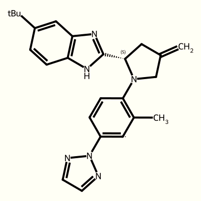 C=C1C[C@@H](c2nc3cc(C(C)(C)C)ccc3[nH]2)N(c2ccc(-n3nccn3)[c]c2C)C1